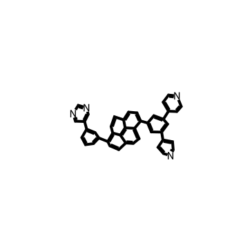 c1cc(-c2cncnc2)cc(-c2ccc3ccc4c(-c5cc(-c6ccncc6)cc(-c6ccncc6)c5)ccc5ccc2c3c54)c1